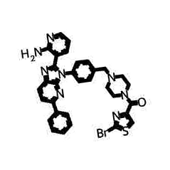 Nc1ncccc1-c1nc2ccc(-c3ccccc3)nc2n1-c1ccc(CN2CCN(C(=O)c3csc(Br)n3)CC2)cc1